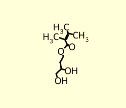 CC(C)=C(C)C(=O)OCCC(O)CO